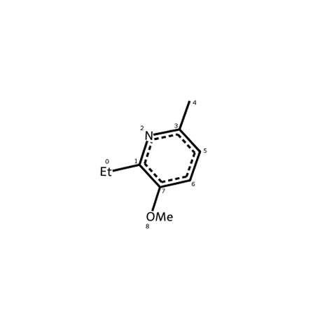 CCc1nc(C)ccc1OC